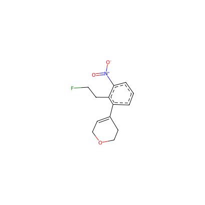 O=[N+]([O-])c1cccc(C2=CCOCC2)c1CCF